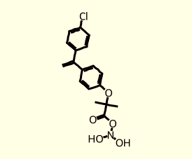 C=C(c1ccc(Cl)cc1)c1ccc(OC(C)(C)C(=O)ON(O)O)cc1